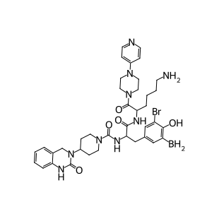 Bc1cc(CC(NC(=O)N2CCC(N3Cc4ccccc4NC3=O)CC2)C(=O)NC(CCCCN)C(=O)N2CCN(c3ccncc3)CC2)cc(Br)c1O